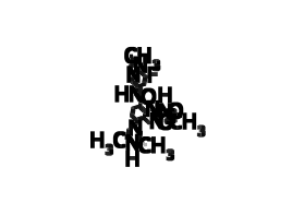 Cc1cn2cc(NC(=O)c3ccc(N4C[C@@H](C)N[C@@H](C)C4)c4cnc(NS(C)(=O)=O)nc34)cc(F)c2n1